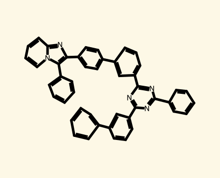 c1ccc(-c2cccc(-c3nc(-c4ccccc4)nc(-c4cccc(-c5ccc(-c6nc7ccccn7c6-c6ccccc6)cc5)c4)n3)c2)cc1